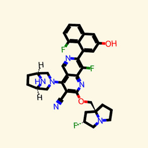 N#Cc1c(OC[C@@]23CCCN2C[C@H](F)C3)nc2c(F)c(-c3cc(O)cc4cccc(F)c34)ncc2c1N1C[C@H]2CC[C@@H](C1)N2